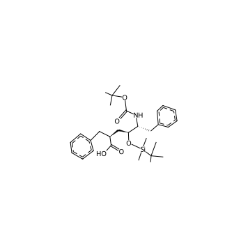 CC(C)(C)OC(=O)N[C@H](Cc1ccccc1)[C@H](C[C@H](Cc1ccccc1)C(=O)O)O[Si](C)(C)C(C)(C)C